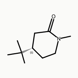 CN1CC[C@H](C(C)(C)C)CC1=O